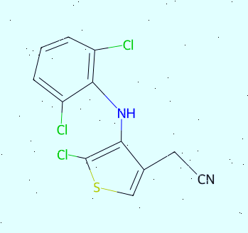 N#CCc1csc(Cl)c1Nc1c(Cl)cccc1Cl